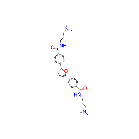 CN(C)CCCNC(=O)c1ccc(-c2ccc(-c3ccc(C(=O)NCCCN(C)C)cc3)o2)cc1